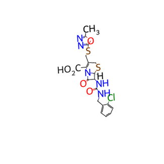 Cc1nnc(SCC2=C(C(=O)O)N3C(=O)C(NC(=O)NCc4ccccc4Cl)[C@@H]3SC2)o1